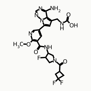 COc1ncc(-c2cc(CNC(=O)O)c3c(N)ncnn23)cc1C(=O)NC1CN(C(=O)C2CC(F)(F)C2)CC1F